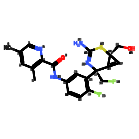 Cc1cc(C#N)cnc1C(=O)Nc1ccc(F)c([C@@]2(CF)N=C(N)S[C@@]3(CO)C=C32)c1